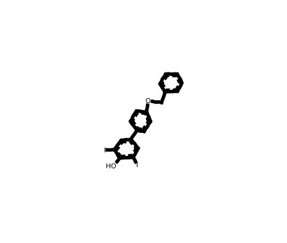 Oc1c(I)cc(-c2ccc(OCc3ccccc3)cc2)cc1I